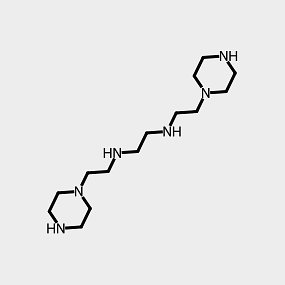 C(CNCCN1CCNCC1)NCCN1CCNCC1